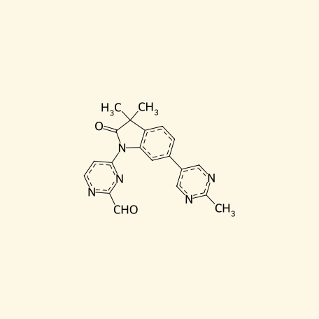 Cc1ncc(-c2ccc3c(c2)N(c2ccnc(C=O)n2)C(=O)C3(C)C)cn1